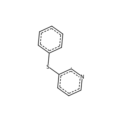 [c]1ncccc1Sc1ccccc1